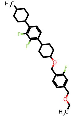 CCOCc1ccc(COC2CCC(c3ccc(C4CCC(C)CC4)c(F)c3F)CC2)c(F)c1